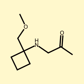 COCC1(NCC(C)=O)CCC1